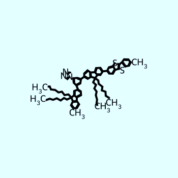 CCCCCCCCC1(CCCCCCCC)c2cc(C)ccc2-c2ccc(-c3cc(-c4ccc5c(c4)C(CCCCCCCC)(CCCCCCCC)c4cc(-c6ccc7c(c6)sc6c8ccc(C)cc8sc76)ccc4-5)cc(-n4cnnc4)c3)cc21